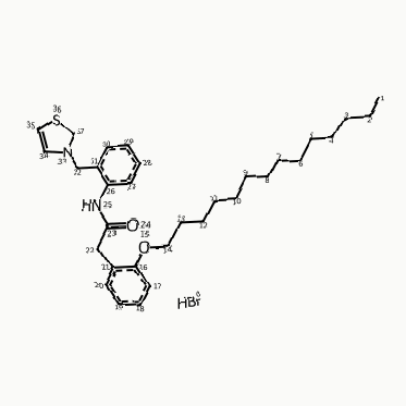 Br.CCCCCCCCCCCCCCOc1ccccc1CC(=O)Nc1ccccc1CN1C=CSC1